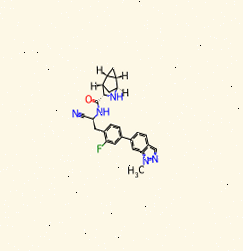 Cn1ncc2ccc(-c3ccc(C[C@@H](C#N)NC(=O)[C@H]4N[C@H]5C[C@H]4[C@@H]4C[C@@H]45)c(F)c3)cc21